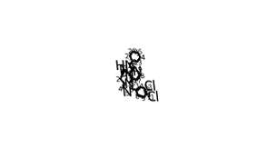 N#CCc1cnc(-c2ccc(Cl)c(Cl)c2)n1-c1ccnc(NC2CCCCC2)n1